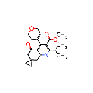 COC(=O)c1c(C(C)C)nc2c(c1C1=CCOCC1)C(=O)CC1(CC1)C2